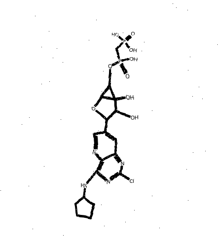 O=P(O)(O)CP(=O)(O)OC1C2OC(c3cnc4c(NC5CCCC5)nc(Cl)nc4c3)C(O)C21O